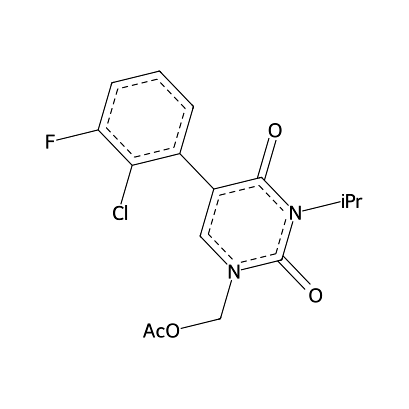 CC(=O)OCn1cc(-c2cccc(F)c2Cl)c(=O)n(C(C)C)c1=O